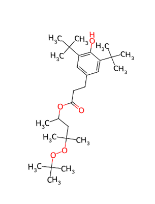 CC(CC(C)(C)OOC(C)(C)C)OC(=O)CCc1cc(C(C)(C)C)c(O)c(C(C)(C)C)c1